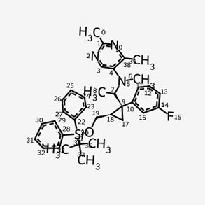 Cc1ncc(N(C)C(C)[C@@]2(c3cccc(F)c3)C[C@H]2CO[Si](c2ccccc2)(c2ccccc2)C(C)(C)C)c(C)n1